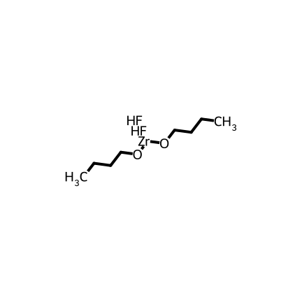 CCCC[O][Zr][O]CCCC.F.F